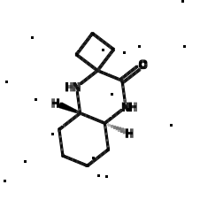 O=C1N[C@H]2CCCC[C@@H]2NC12CCC2